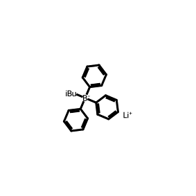 CCC(C)[B-](c1ccccc1)(c1ccccc1)c1ccccc1.[Li+]